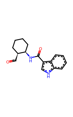 O=[C][C@H]1CCCC[C@H]1NC(=O)c1c[nH]c2ccccc12